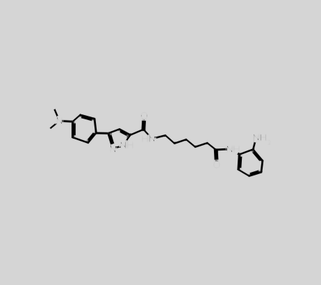 CN(C)c1ccc(-c2cc(C(=O)NCCCCCC(=O)Nc3ccccc3N)[nH]n2)cc1